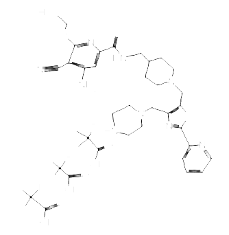 CCOc1nc(C(=O)NCC2CCN(Cc3sc(-c4ccccn4)nc3CN3CCNCC3)CC2)cc(N)c1C#N.O=C(O)C(F)(F)F.O=C(O)C(F)(F)F.O=C(O)C(F)(F)F